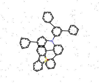 c1ccc(-c2ccc(N(c3cc(-c4ccccc4)cc(-c4ccccc4)c3)c3cccc(-c4ccccc4)c3-c3cccc4c3sc3ccccc34)cc2)cc1